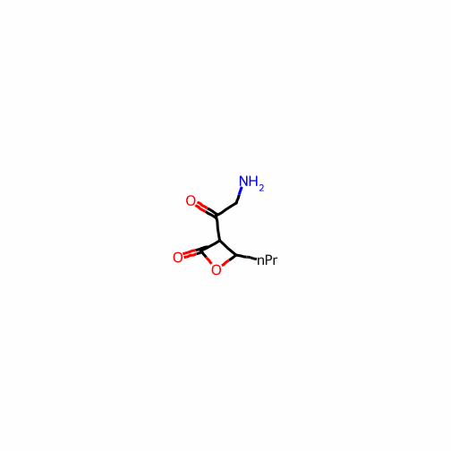 CCCC1OC(=O)C1C(=O)CN